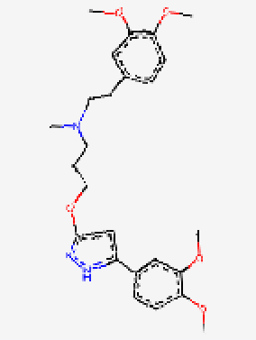 COc1ccc(CCN(C)CCCOc2cc(-c3ccc(OC)c(OC)c3)[nH]n2)cc1OC